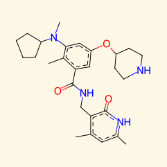 Cc1cc(C)c(CNC(=O)c2cc(OC3CCNCC3)cc(N(C)C3CCCC3)c2C)c(=O)[nH]1